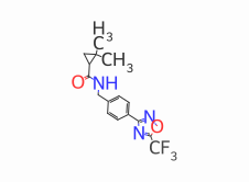 CC1(C)CC1C(=O)NCc1ccc(-c2noc(C(F)(F)F)n2)cc1